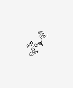 O=C(/C=C/CNC1(COc2ccc(/C(=C(/CC(F)(F)F)c3ccccc3)c3ccc4c(c3)c(F)nn4C3CCCCO3)cn2)CC1)[C@]1(CO)CNCCO1